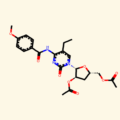 CCc1cn([C@@H]2O[C@H](COC(C)=O)C[C@H]2OC(C)=O)c(=O)nc1NC(=O)c1ccc(OC)cc1